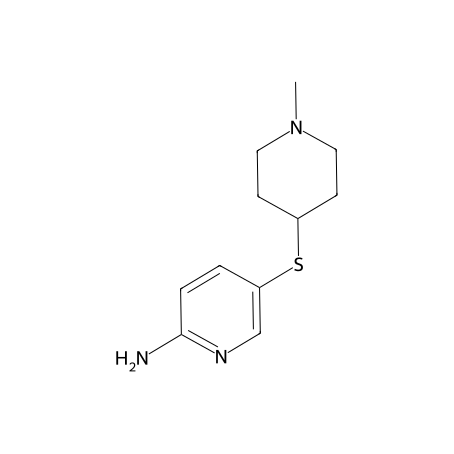 CN1CCC(Sc2ccc(N)nc2)CC1